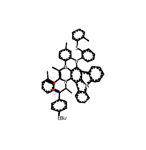 C=C/C=C(/c1ccc(C(C)(C)C)cc1)C(C)N1C(c2ccccc2C)=C(C)B2c3ccc(C)cc3N(c3ccccc3Sc3ccccc3C)c3c2c1c1c2ccccc2n2c4ccccc4c3c12